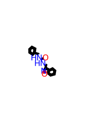 O=C(NCc1ccccc1)NCc1noc2ccccc12